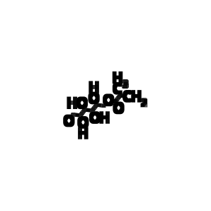 C=C(C)C(=O)OC[C@@H](O)[C@H](O)[C@H](O)[C@@H](O)C=O